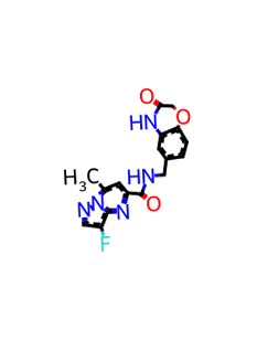 Cc1cc(C(=O)NCc2ccc3c(c2)NC(=O)CO3)nc2c(F)cnn12